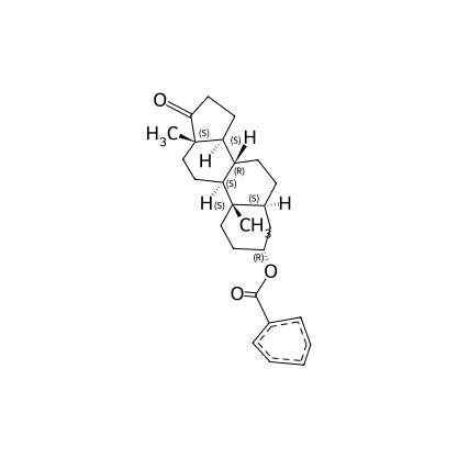 C[C@]12CC[C@@H](OC(=O)c3ccccc3)C[C@@H]1CC[C@@H]1[C@@H]2CC[C@]2(C)C(=O)CC[C@@H]12